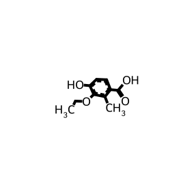 CCOc1c(O)ccc(C(=O)O)c1C